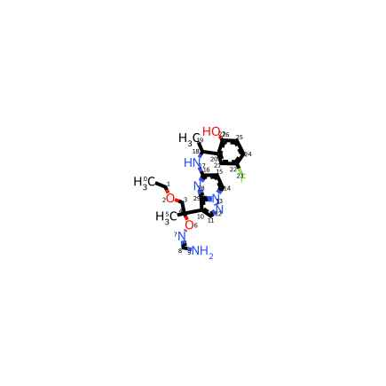 CCOCC(C)(O/N=C\N)c1cnn2ccc(NC(C)c3cc(F)ccc3O)nc12